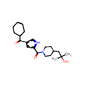 CC(C)(O)CC1CCN(C(=O)c2cc(C(=O)C3CCCCC3)c[nH]2)CC1